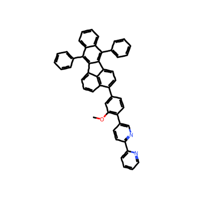 COc1cc(-c2ccc3c4c(cccc24)-c2c-3c(-c3ccccc3)c3ccccc3c2-c2ccccc2)ccc1-c1ccc(-c2ccccn2)nc1